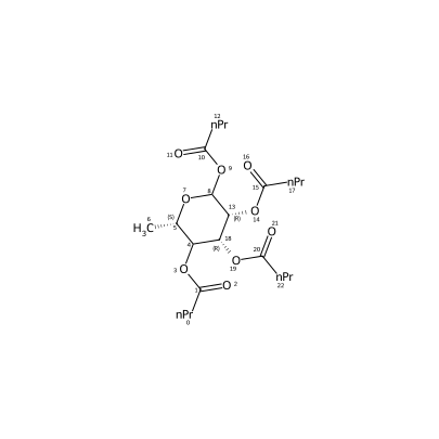 CCCC(=O)OC1[C@H](C)OC(OC(=O)CCC)[C@H](OC(=O)CCC)[C@@H]1OC(=O)CCC